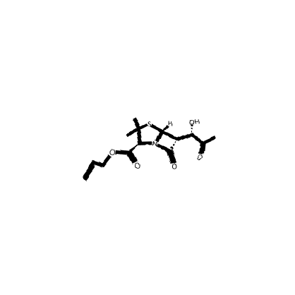 C=CCOC(=O)[C@@H]1N2C(=O)[C@@H]([C@H](O)C(C)=O)[C@H]2SC1(C)C